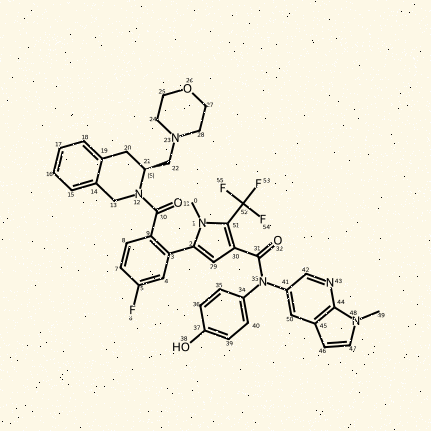 Cn1c(-c2cc(F)ccc2C(=O)N2Cc3ccccc3C[C@H]2CN2CCOCC2)cc(C(=O)N(c2ccc(O)cc2)c2cnc3c(ccn3C)c2)c1C(F)(F)F